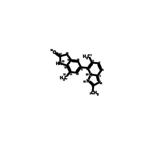 Cc1nc2ccc(C)c(-c3cc(C)c4c(c3)CC(=O)N4)n2n1